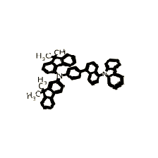 CC1(C)c2ccccc2-c2ccc(N(c3ccc(-c4cccc5c(-n6c7ccccc7c7ccccc76)cccc45)cc3)c3cccc4c3-c3ccccc3C4(C)C)cc21